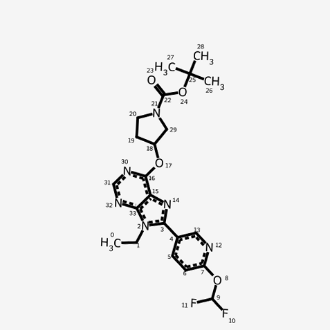 CCn1c(-c2ccc(OC(F)F)nc2)nc2c(OC3CCN(C(=O)OC(C)(C)C)C3)ncnc21